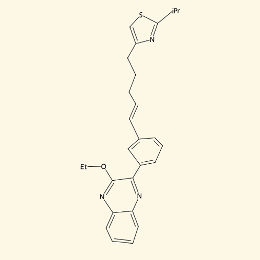 CCOc1nc2ccccc2nc1-c1cccc(/C=C/CCCc2csc(C(C)C)n2)c1